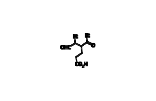 CCC(=O)C(CCC(=O)O)C(C=O)CC